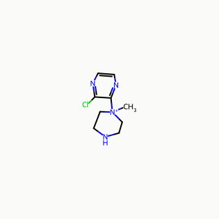 C[N+]1(c2nccnc2Cl)CCNCC1